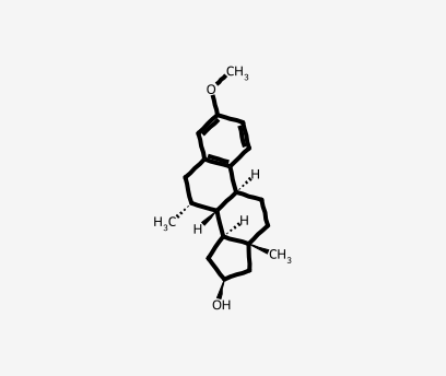 COc1ccc2c(c1)C[C@@H](C)[C@@H]1[C@@H]2CC[C@]2(C)C[C@@H](O)C[C@@H]12